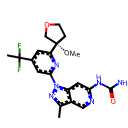 CO[C@@]1(c2cc(C(C)(F)F)cc(-n3nc(C)c4cnc(NC(N)=O)cc43)n2)CCOC1